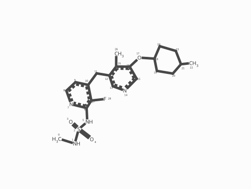 CNS(=O)(=O)Nc1nccc(Cc2cncc(OC3CCC(C)CC3)c2C)c1F